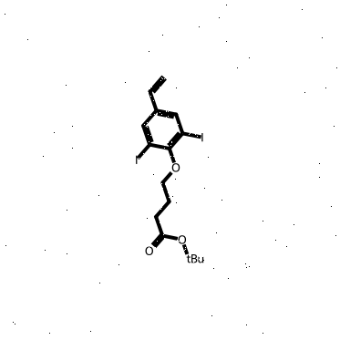 C=Cc1cc(I)c(OCCCC(=O)OC(C)(C)C)c(I)c1